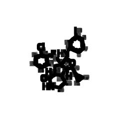 C[C@]1(C(=O)Nc2cccc(I)c2)[C@@H](c2cccc(Cl)c2F)[C@@H]2C(=O)NCC[C@@H]2N1CC1CC1